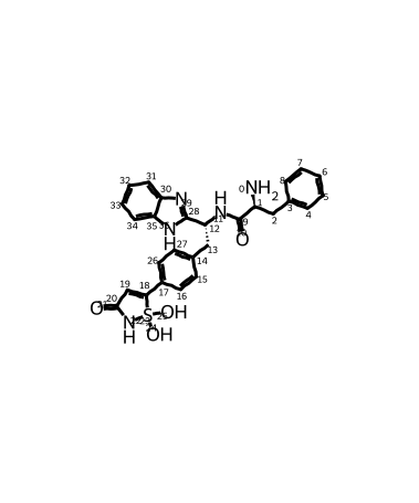 N[C@@H](Cc1ccccc1)C(=O)N[C@H](Cc1ccc(C2=CC(=O)NS2(O)O)cc1)c1nc2ccccc2[nH]1